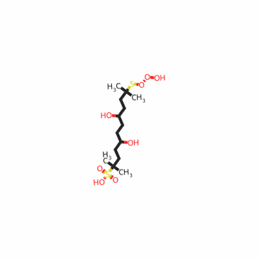 CC(C)(CCC(O)CCC(O)CCC(C)(C)S(=O)(=O)O)SOOO